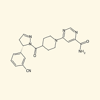 N#Cc1cccc([C@@H]2CC=NN2C(=O)C2CCN(c3cc(C(N)=O)ncn3)CC2)c1